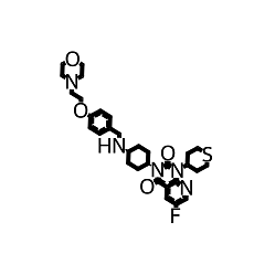 O=c1c2cc(F)cnc2n(C2CCSCC2)c(=O)n1[C@H]1CC[C@@H](NCc2ccc(OCCN3CCOCC3)cc2)CC1